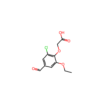 CCOc1cc(C=O)cc(Cl)c1OCC(=O)O